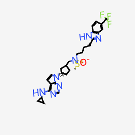 C[S+]([O-])N(CCCCc1nc2cc(C(F)(F)F)ccc2[nH]1)CC1CC[C@H](n2ccc3c(NC4CC4)ncnc32)C1